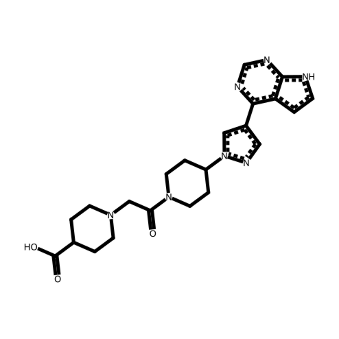 O=C(O)C1CCN(CC(=O)N2CCC(n3cc(-c4ncnc5[nH]ccc45)cn3)CC2)CC1